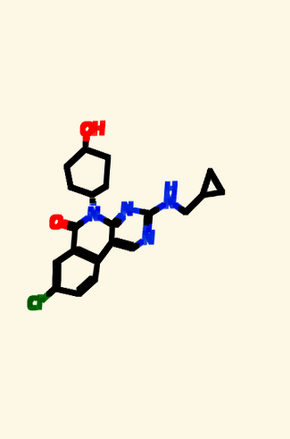 O=c1c2cc(Cl)ccc2c2cnc(NCC3CC3)nc2n1[C@H]1CC[C@H](O)CC1